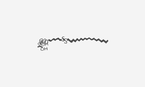 CCCCCCCCCCCCCCCCCCCSSCCCCCCOOP(=O)(O)OC(C)CO